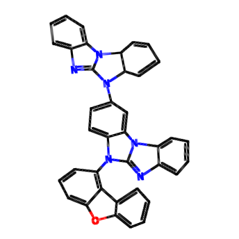 C1=CC2C(C=C1)n1c(nc3ccccc31)N2c1ccc2c(c1)n1c3ccccc3nc1n2-c1cccc2oc3ccccc3c12